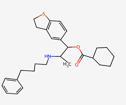 CC(NCCCCc1ccccc1)C(OC(=O)C1CCCCC1)c1ccc2c(c1)CCS2